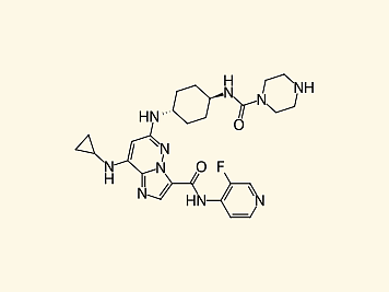 O=C(Nc1ccncc1F)c1cnc2c(NC3CC3)cc(N[C@H]3CC[C@H](NC(=O)N4CCNCC4)CC3)nn12